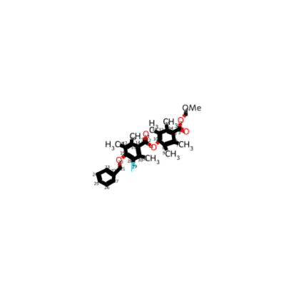 COCOC(=O)c1c(C)c(C)c(OC(=O)c2c(C)c(C)c(OCc3ccccc3)c(F)c2C)c(C)c1C